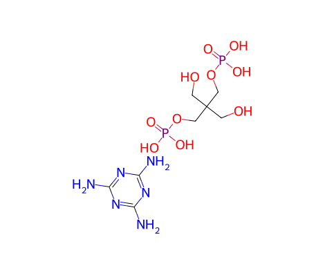 Nc1nc(N)nc(N)n1.O=P(O)(O)OCC(CO)(CO)COP(=O)(O)O